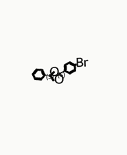 Brc1ccc([C@H]2OC[C@H](c3ccccc3)O2)cc1